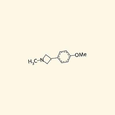 COc1ccc([C]2CN(C)C2)cc1